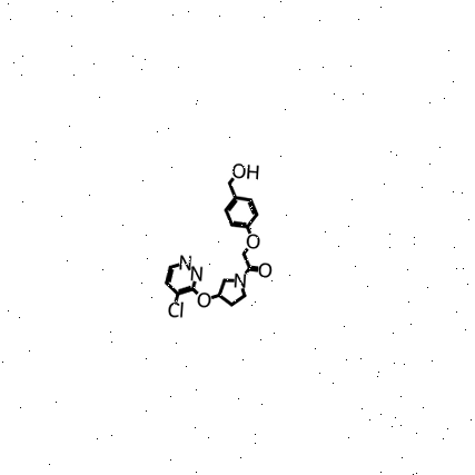 O=C(COc1ccc(CO)cc1)N1CCC(Oc2nnccc2Cl)C1